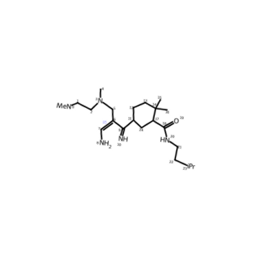 CNCCN(C)C/C(=C/N)C(=N)C1CCC(C)(C)C(C(=O)NCCC(C)C)C1